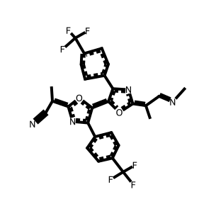 C/N=C/C(C)=c1\nc(-c2ccc(C(F)(F)F)cc2)/c(=c2\o/c(=C(\C)C#N)nc2-c2ccc(C(F)(F)F)cc2)o1